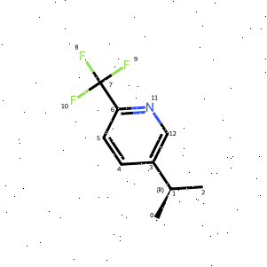 [CH2][C@H](C)c1ccc(C(F)(F)F)nc1